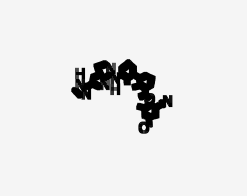 C=C(Oc1c(C)cc(C=O)cc1C#N)c1cccc(-c2cccc(Nc3nccc4cc(C5=NCCN5)cnc34)c2C)c1C